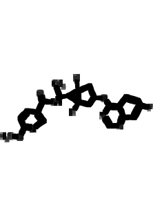 COc1ccc(C(=O)NC(C)[C@H]2[C@@H]3C[C@@H](Oc4ncnc5cc(F)ccc45)C[C@@H]32)cn1